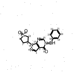 O=c1c2cnn(C3CCS(=O)(=O)C3)c2ncn1Bc1ccccc1